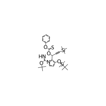 CC(C)(C)OC(=N)n1ccc(O[Si](C)(C)C(C)(C)C)c1C(C#C[Si](C)(C)C)OC(=S)Oc1ccccc1